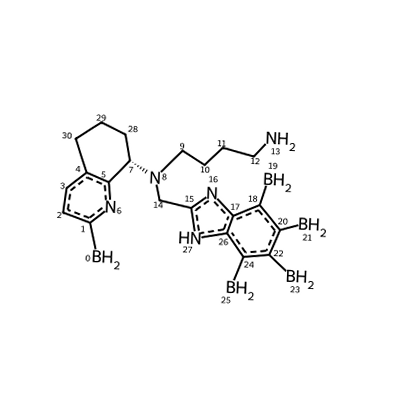 Bc1ccc2c(n1)[C@@H](N(CCCCN)Cc1nc3c(B)c(B)c(B)c(B)c3[nH]1)CCC2